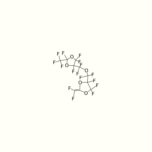 FC(F)=C1OC(F)(F)C(F)(C(F)(F)OC(F)(F)C2(F)OC(F)(C(F)(F)F)OC2(F)F)O1